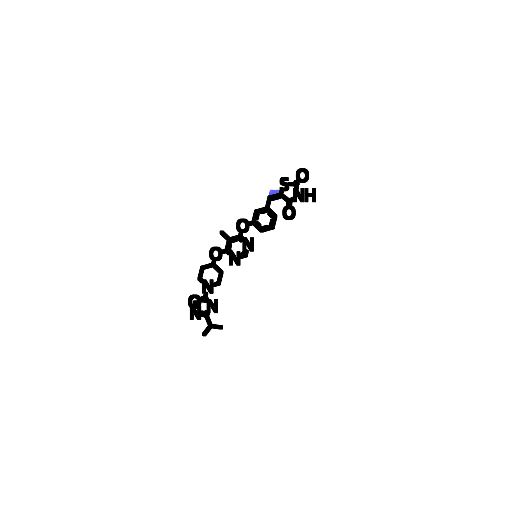 Cc1c(Oc2cccc(/C=C3/SC(=O)NC3=O)c2)ncnc1OC1CCN(c2nc(C(C)C)no2)CC1